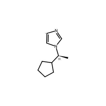 C[C@@H](C1CCCC1)n1c[c]nc1